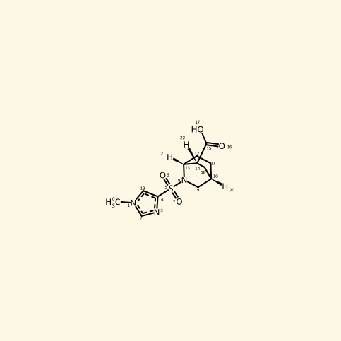 Cn1cnc(S(=O)(=O)N2C[C@H]3CC[C@@H]2[C@H](C(=O)O)C3)c1